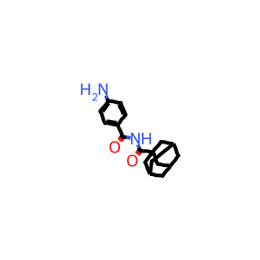 Nc1ccc(C(=O)NC(=O)C23CC4CC(CC(C4)C2)C3)cc1